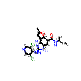 Cc1cc2c3c(cc(C(=O)NC(C)C(C)(C)C)c2o1)NC(Nc1c(Cl)cncc1Cl)N3